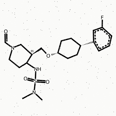 CN(C)S(=O)(=O)NC1CCN(C=O)C[C@H]1CO[C@H]1CC[C@@H](c2cccc(F)c2)CC1